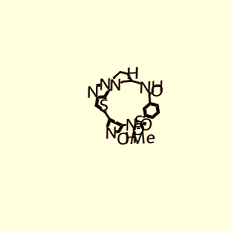 COc1ncc2cc1NS(=O)(=O)c1cccc(c1)C(=O)NC[C@@H]1CCCN(C1)c1ncnc3cc-2sc13